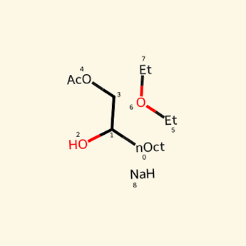 CCCCCCCCC(O)COC(C)=O.CCOCC.[NaH]